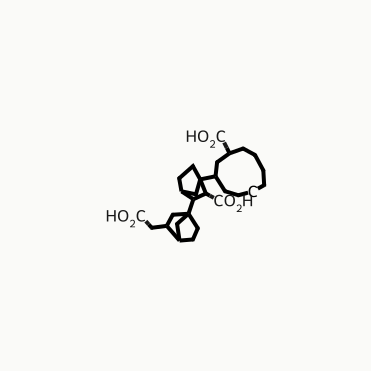 O=C(O)CC1CC2(C3C4CCC(C5CCCCCCCC(C(=O)O)C5)(C4)C3C(=O)O)CCC1C2